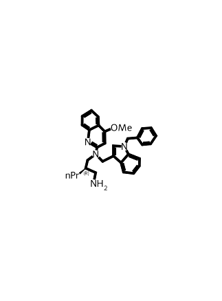 CCC[C@H](CN)CN(Cc1cn(Cc2ccccc2)c2ccccc12)c1cc(OC)c2ccccc2n1